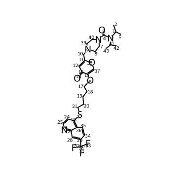 CC(C)N(C(=O)N1CCN(Cc2cc(=O)c(OCCCCCSc3ccnc4cc(C(F)(F)F)ccc34)co2)CC1)C(C)C